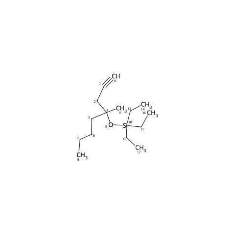 C#CCC(C)(CCCC)O[Si](CC)(CC)CC